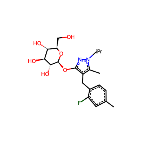 Cc1ccc(Cc2c(O[C@@H]3O[C@H](CO)[C@@H](O)[C@H](O)[C@H]3O)nn(C(C)C)c2C)c(F)c1